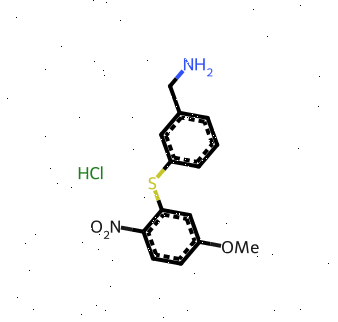 COc1ccc([N+](=O)[O-])c(Sc2cccc(CN)c2)c1.Cl